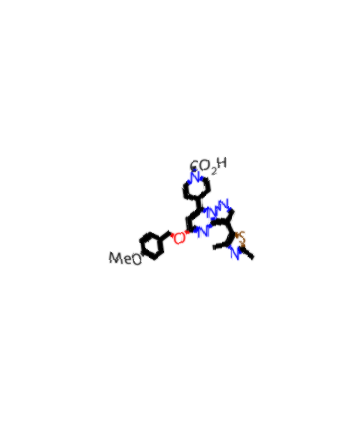 COc1ccc(COc2cc(C3CCN(C(=O)O)CC3)n3ncc(-c4sc(C)nc4C)c3n2)cc1